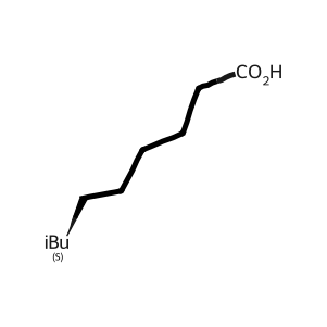 CC[C@H](C)CCCCCC(=O)O